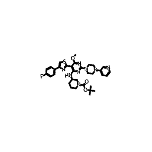 COc1nc(N2CCN(c3cccnc3)CC2)nc(NC2CCCN(C(=O)OC(C)(C)C)C2)c1-c1nc(-c2ccc(F)cc2)cs1